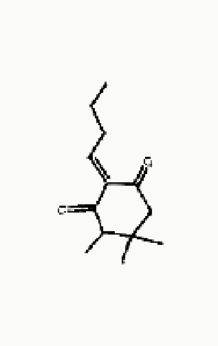 CCC[C]=C1C(=O)CC(C)(C)C(C)C1=O